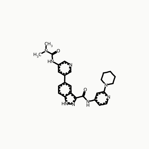 CN(C)C(=O)Nc1cncc(-c2ccc3[nH]nc(C(=O)Nc4ccnc(N5CCCCC5)c4)c3c2)c1